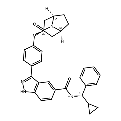 O=CN1[C@@H]2CC[C@H]1C[C@@H](Oc1ccc(-c3n[nH]c4ccc(C(=O)N[C@H](c5ccccn5)C5CC5)cc34)cc1)C2